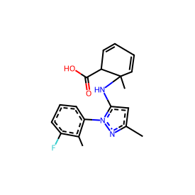 Cc1cc(NC2(C)C=CC=CC2C(=O)O)n(-c2cccc(F)c2C)n1